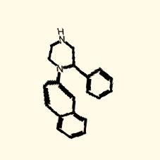 c1ccc(C2CNCCN2c2ccc3ccccc3c2)cc1